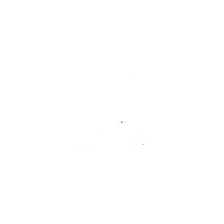 CN[C@H]1CCC[C@@H]1N(Cc1ccccc1)Cc1ccccc1